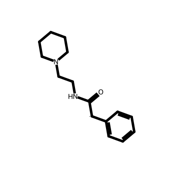 O=C([CH]c1ccccc1)NCCN1CCCCC1